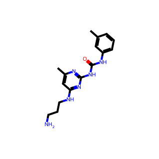 Cc1cccc(NC(=O)Nc2nc(C)cc(NCCCN)n2)c1